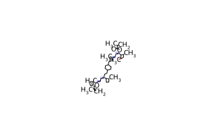 C=C(C)C(=O)O/C(C)=C/C=C(/CCC1CCC(CC/C(C)=C/C=C(/OC(=O)C(=C)C)C2C(C)CC2C)CC1)C1CCC1C